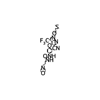 CS(C)(C)CCOCn1cc(C(F)(F)F)c2c(Oc3ccc(NC(=O)NCCCN4CCOCC4)cc3C#N)ccnc21